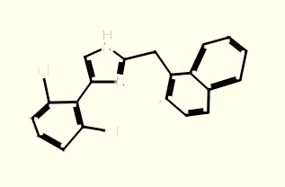 Clc1cccc(Cl)c1-c1c[nH]c(Cc2cccc3ccccc23)n1